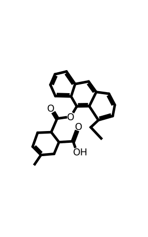 CCc1cccc2cc3ccccc3c(OC(=O)C3CC=C(C)CC3C(=O)O)c12